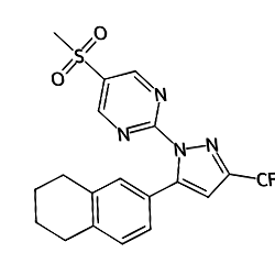 CS(=O)(=O)c1cnc(-n2nc(C(F)(F)F)cc2-c2ccc3c(c2)CCCC3)nc1